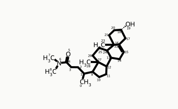 CC(CCC(=O)N(C)C)C1CCC2C3CC=C4C[C@@H](O)CCC4(C)C3CCC12C